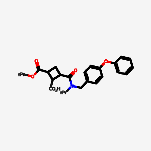 CCCOC(=O)C1CC(C(=O)N(CCC)Cc2ccc(Oc3ccccc3)cc2)C1C(=O)O